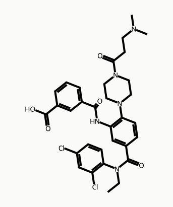 CCN(C(=O)c1ccc(N2CCN(C(=O)CCN(C)C)CC2)c(NC(=O)c2cccc(C(=O)O)c2)c1)c1ccc(Cl)cc1Cl